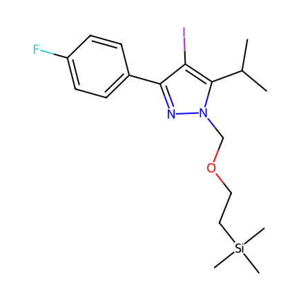 CC(C)c1c(I)c(-c2ccc(F)cc2)nn1COCC[Si](C)(C)C